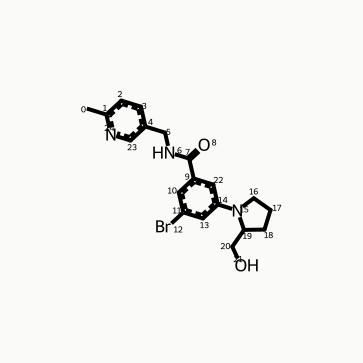 Cc1ccc(CNC(=O)c2cc(Br)cc(N3CCCC3CO)c2)cn1